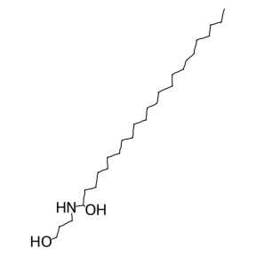 CCCCCCCCCCCCCCCCCCCCCCCC(O)NCCCO